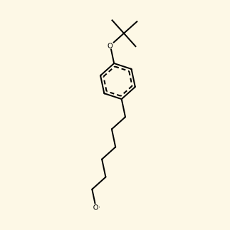 CC(C)(C)Oc1ccc(CCCCCC[O])cc1